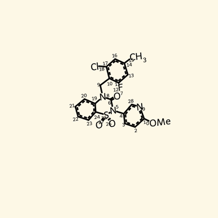 COc1ccc(N2C(=O)N(Cc3c(F)cc(C)cc3Cl)c3ccccc3S2(=O)=O)cn1